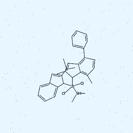 CC1=Cc2c(-c3ccccc3)ccc(C)c2[CH]1[Zr]([Cl])([Cl])([CH]1C(C(C)C)=Cc2ccccc21)[SiH](C)C